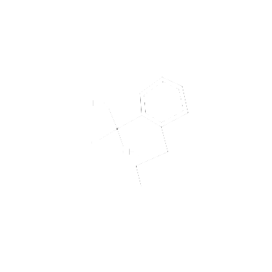 CC(C)(O)c1ccccc1CCI